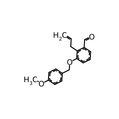 C=CCc1c(C=O)cccc1OCc1ccc(OC)cc1